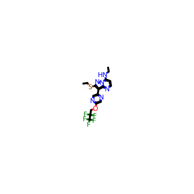 CCNc1ccnc2c(-c3cnc(OCC(F)(F)C(F)(F)F)cn3)c(SCC)nn12